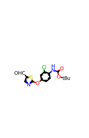 CC(C)(C)OC(=O)Nc1ccc(Oc2ncc(C=O)s2)cc1Cl